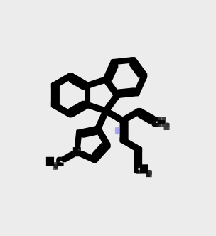 C=C/C=C(\C=C)C1(c2ccn(C)c2)c2ccccc2-c2ccccc21